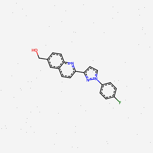 OCc1ccc2nc(-c3ccn(-c4ccc(F)cc4)n3)ccc2c1